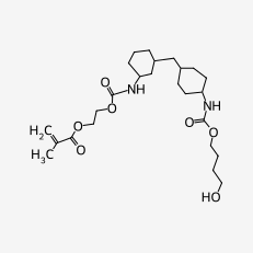 C=C(C)C(=O)OCCOC(=O)NC1CCCC(CC2CCC(NC(=O)OCCCCO)CC2)C1